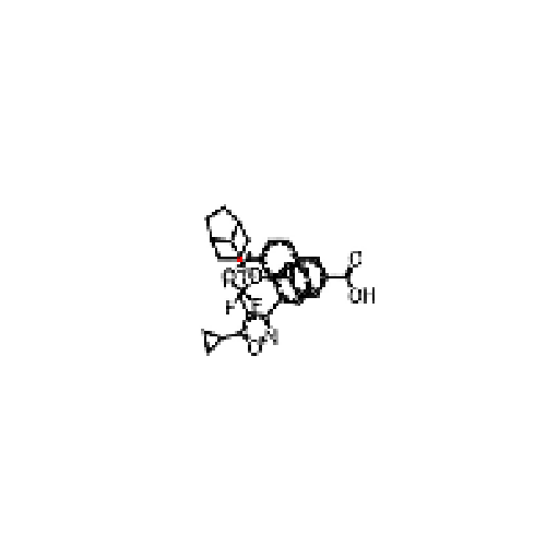 O=C(O)c1ccc2cc([S+]([O-])C3C4CCC3CC(OCc3c(-c5ccccc5OC(F)(F)F)noc3C3CC3)C4)ccc2c1